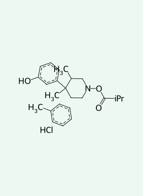 CC(C)C(=O)ON1CCC(C)(c2cccc(O)c2)C(C)C1.Cc1ccccc1.Cl